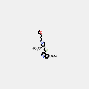 COc1ccc2nccc([C@@H](F)CC[C@@H]3CCN(CCCCc4ccco4)C[C@@H]3CC(=O)O)c2c1